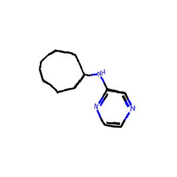 c1cnc(NC2CCCCCC2)cn1